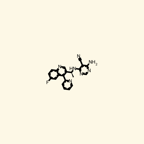 C[C@H](Nc1ncnc(N)c1C#N)c1cnc2ccc(F)cc2c1-c1ccccn1